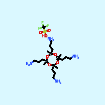 C[Si]1(CCCN)O[Si](C)(CCCN)O[Si](C)(CCCN)O[Si](C)(CCCN)O1.O=S(=O)(O)C(F)(F)F